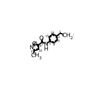 [CH2]Cc1ccc(NC(=O)c2cc(C)no2)cc1